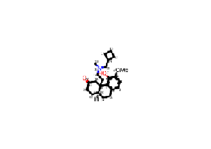 COc1ccc2c(c1O)C1(CCN(C)CC3CCC3)CC(=O)CC[C@@H]1CC2